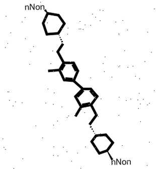 CCCCCCCCC[C@H]1CC[C@H](CCc2ccc(-c3ccc(CC[C@H]4CC[C@H](CCCCCCCCC)CC4)c(C)c3)cc2C)CC1